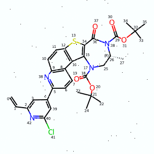 C=Cc1cc(-c2ccc3c(ccc4sc5c(c43)N(C(=O)OC(C)(C)C)C[C@@H](C)N(C(=O)OC(C)(C)C)C5=O)n2)cc(Cl)n1